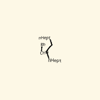 O=[CH][Rh].[CH2]CCCCCCCCCCCCCCC